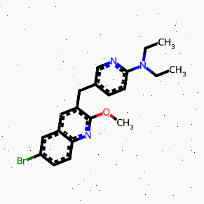 CCN(CC)c1ccc(Cc2cc3cc(Br)ccc3nc2OC)cn1